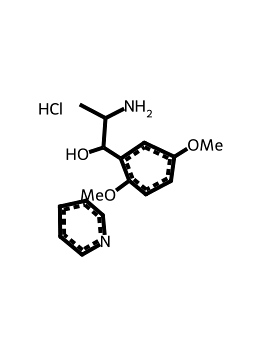 COc1ccc(OC)c(C(O)C(C)N)c1.Cl.c1ccncc1